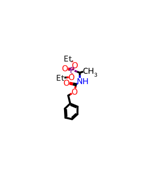 CCOP(=O)(OCC)C(C)NC(=O)OCc1ccccc1